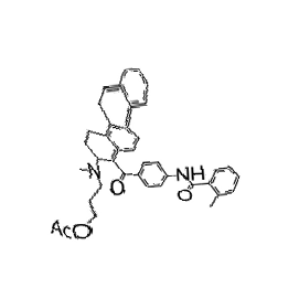 CC(=O)OCCCN(C)C1CCc2c3c(ccc2=C1C(=O)c1ccc(NC(=O)c2ccccc2C)cc1)=c1ccccc1=CC3